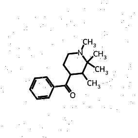 CC1C(C(=O)c2ccccc2)CCN(C)C1(C)C